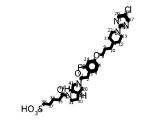 O=C(Cc1ccc(OCCCC2CCN(c3ncc(Cl)cn3)CC2)cc1F)N1C[C@@H]2CCN(C(=O)CCCCS(=O)(=O)O)[C@@H]2C1